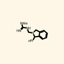 CCCC1c2ccccc2CN1CNC(=N)NC